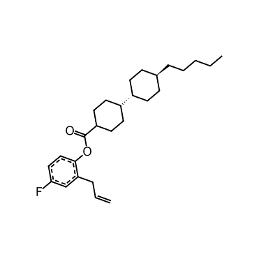 C=CCc1cc(F)ccc1OC(=O)C1CCC([C@H]2CC[C@H](CCCCC)CC2)CC1